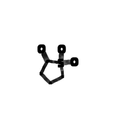 O=C1CCCS1(=O)=O